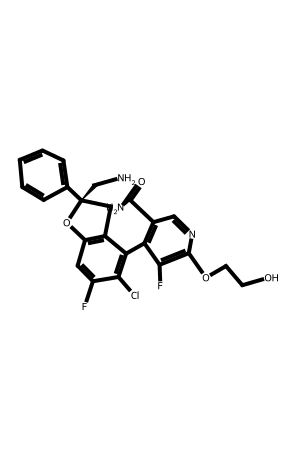 NC[C@@]1(c2ccccc2)Cc2c(cc(F)c(Cl)c2-c2c(C(N)=O)cnc(OCCO)c2F)O1